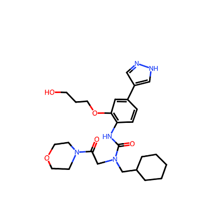 O=C(CN(CC1CCCCC1)C(=O)Nc1ccc(-c2cn[nH]c2)cc1OCCCO)N1CCOCC1